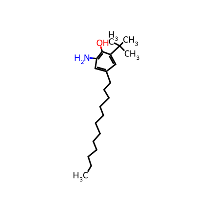 CCCCCCCCCCCCc1cc(N)c(O)c(C(C)(C)C)c1